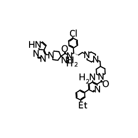 CCc1cccc(-c2cnc(C(=O)N3CCC(CN4CCN(CC[C@H](NC(=O)C5(N)CCN(c6ncnc7[nH]ccc67)CC5)c5ccc(Cl)cc5)CC4)CC3)c(N)c2)c1